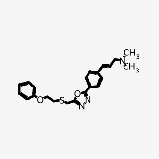 CN(C)CC=Cc1ccc(-c2nnc(CSCCOc3ccccc3)o2)cc1